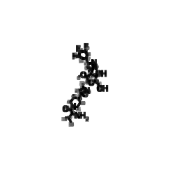 CO[C@@H]1[C@@H](n2cc(-c3cc(F)c(F)c(F)c3)nn2)[C@@H](O)[C@@H](CO)O[C@@H]1Cc1cc(C2CCN(C(=O)[C@@H](N)C(C)C)CC2)on1